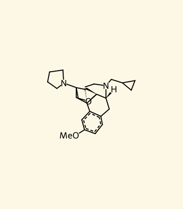 COc1ccc2c(c1)[C@]13CCN(CC4CC4)[C@H](C2)[C@]12CCC(N1CCCC1)(CO2)C3